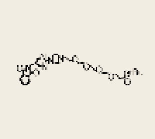 CC(C)(C)OC(=O)CCOCCOCCOCCOCCN1CCN(c2ncc(CN3C(=O)c4ccccc4C3=O)cn2)CC1